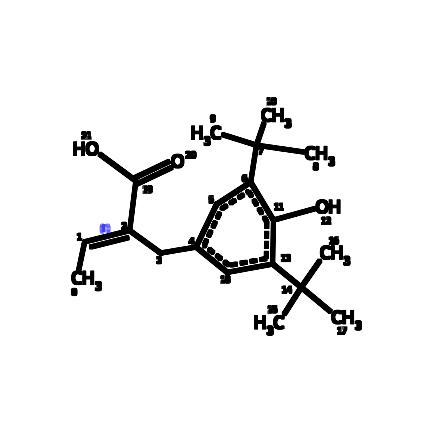 C/C=C(\Cc1cc(C(C)(C)C)c(O)c(C(C)(C)C)c1)C(=O)O